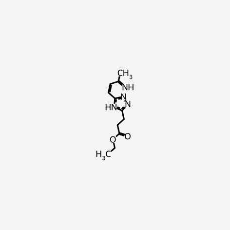 CCOC(=O)CCc1nnc(/C=C\C(C)=N)[nH]1